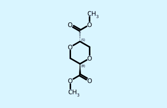 COC(=O)[C@@H]1CO[C@@H](C(=O)OC)CO1